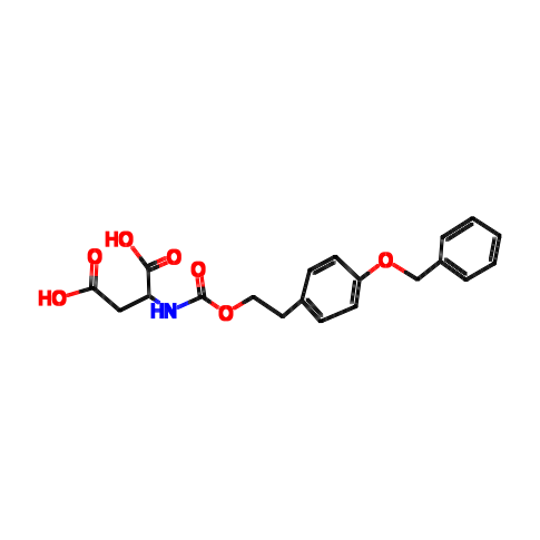 O=C(O)CC(NC(=O)OCCc1ccc(OCc2ccccc2)cc1)C(=O)O